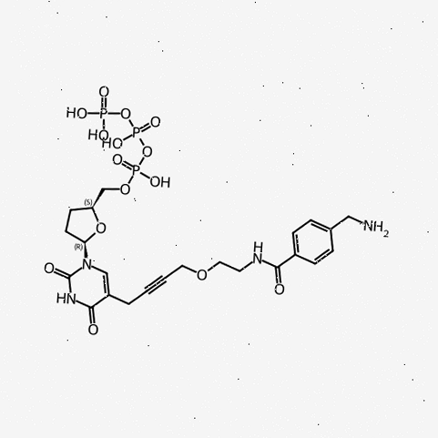 NCc1ccc(C(=O)NCCOCC#CCc2cn([C@H]3CC[C@@H](COP(=O)(O)OP(=O)(O)OP(=O)(O)O)O3)c(=O)[nH]c2=O)cc1